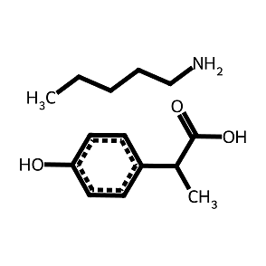 CC(C(=O)O)c1ccc(O)cc1.CCCCCN